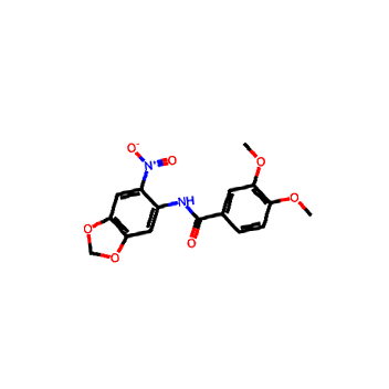 COc1ccc(C(=O)Nc2cc3c(cc2[N+](=O)[O-])OCO3)cc1OC